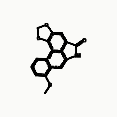 COc1cccc2c1cc1c3c(cc4c(c32)OCO4)C(=O)N1